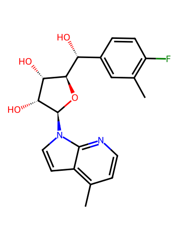 Cc1cc([C@@H](O)[C@H]2O[C@@H](n3ccc4c(C)ccnc43)[C@H](O)[C@@H]2O)ccc1F